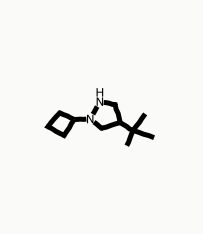 CC(C)(C)C1CNN(C2CCC2)C1